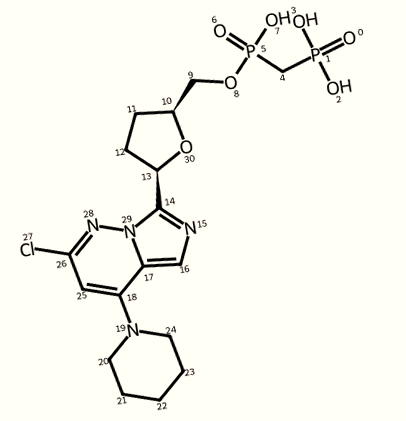 O=P(O)(O)CP(=O)(O)OC[C@@H]1CC[C@H](c2ncc3c(N4CCCCC4)cc(Cl)nn23)O1